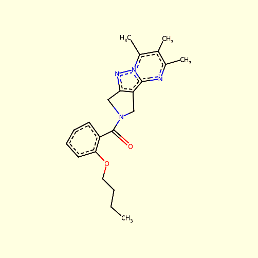 CCCCOc1ccccc1C(=O)N1Cc2nn3c(C)c(C)c(C)nc3c2C1